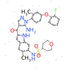 Cc1cc2cc(C(=O)c3cnn(-c4ccc(Oc5ccccc5F)cc4C)c3N)[nH]c2cc1NS(=O)(=O)C1CCOCC1